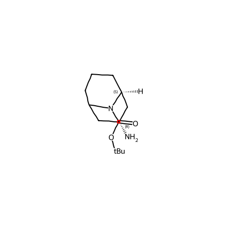 CC(C)(C)OC(=O)N1C2CCC[C@H]1C[C@H](N)C2